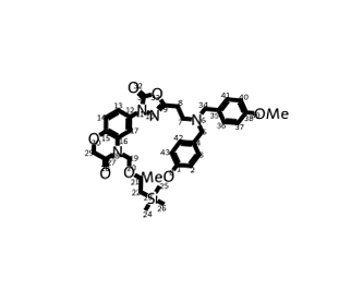 COc1ccc(CN(CCc2nn(-c3ccc4c(c3)N(COCC[Si](C)(C)C)C(=O)CO4)c(=O)o2)Cc2ccc(OC)cc2)cc1